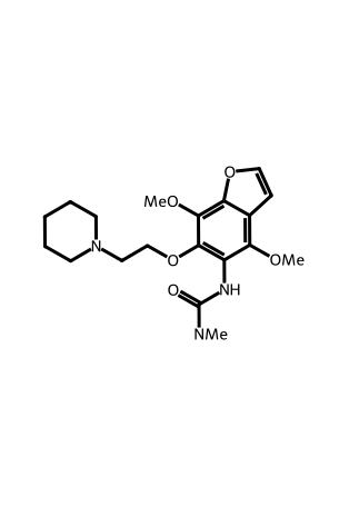 CNC(=O)Nc1c(OCCN2CCCCC2)c(OC)c2occc2c1OC